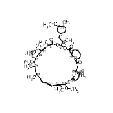 C=C1[C@H](C)C[C@H](C)/C=C/C=C/C=C(\C)[C@@H](OC)C[C@@H]2CC[C@@H](C)[C@](O)(CC(=O)N3CCCC[C@H]3C(=O)O[C@H]([C@H](C)C[C@@H]3CC[C@@H](O)[C@H](OC)C3)CC(=O)[C@H](C)/C=C(\C)[C@@H](O)[C@H]1OC)O2